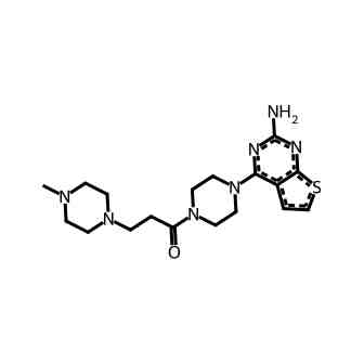 CN1CCN(CCC(=O)N2CCN(c3nc(N)nc4sccc34)CC2)CC1